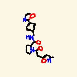 Cc1cc(CC(=O)N2CCCC2C(=O)NCc2ccc(-c3ncco3)cc2)on1